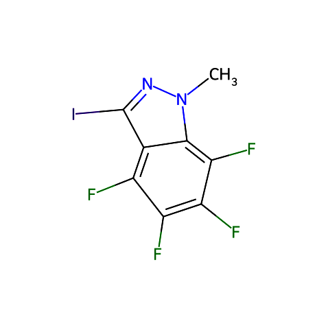 Cn1nc(I)c2c(F)c(F)c(F)c(F)c21